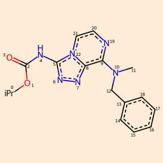 CC(C)OC(=O)Nc1nnc2c(N(C)Cc3ccccc3)nccn12